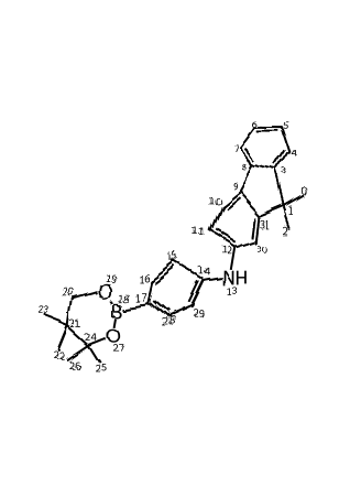 CC1(C)c2ccccc2-c2ccc(Nc3ccc(B4OCC(C)(C)C(C)(C)O4)cc3)cc21